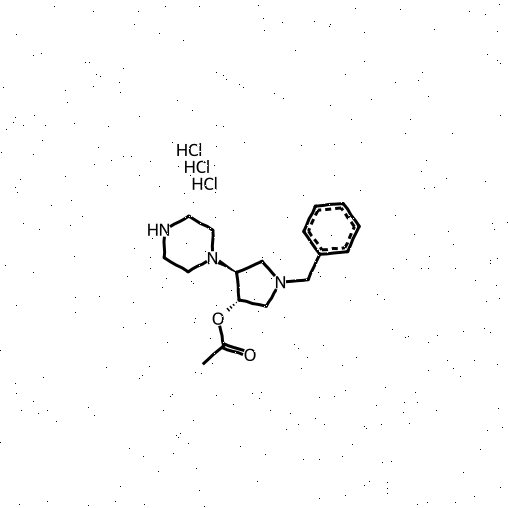 CC(=O)O[C@H]1CN(Cc2ccccc2)C[C@@H]1N1CCNCC1.Cl.Cl.Cl